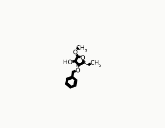 CC[C@H]1OC(OC)C(O)[C@H]1OCc1ccccc1